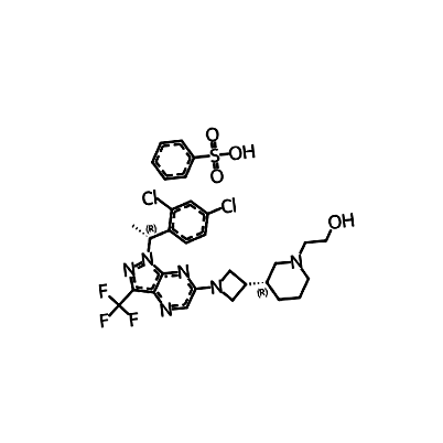 C[C@H](c1ccc(Cl)cc1Cl)n1nc(C(F)(F)F)c2ncc(N3CC([C@H]4CCCN(CCO)C4)C3)nc21.O=S(=O)(O)c1ccccc1